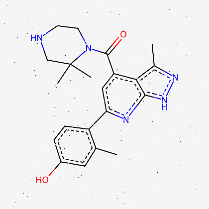 Cc1cc(O)ccc1-c1cc(C(=O)N2CCNCC2(C)C)c2c(C)n[nH]c2n1